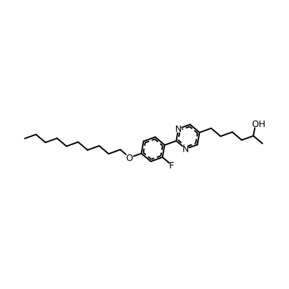 CCCCCCCCCCOc1ccc(-c2ncc(CCCCC(C)O)cn2)c(F)c1